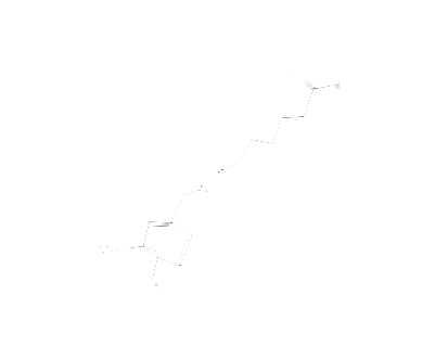 COc1cc(CNC(=O)CCCCCC(=O)C(C)C)ccc1O